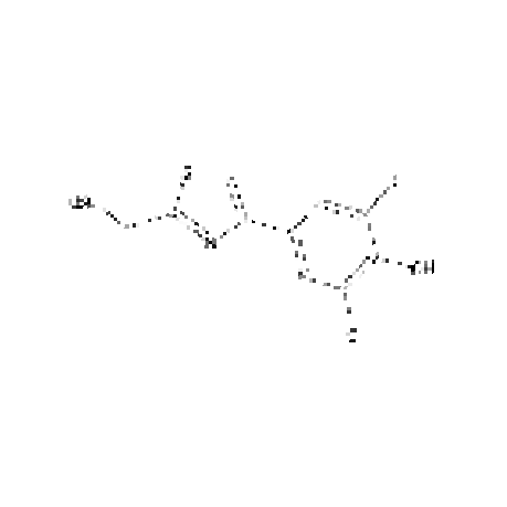 CC(C)(C)Cc1nc(-c2cc(Cl)c(O)c(Cl)c2)cs1